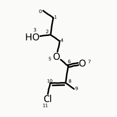 CCC(O)COC(=O)C(C)=CCl